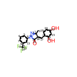 CC1=NN(c2cccc(C(F)(F)F)c2)C(=O)/C1=C/c1ccc(O)cc1O